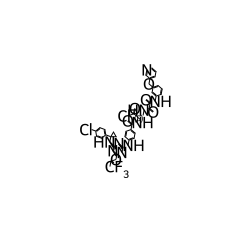 O=C(NC[C@H](NC(=O)c1ccc(Nc2nc(NC3(c4ccc(Cl)cc4)CC3)nc(OCC(F)(F)F)n2)cc1)C(=O)Cl)C(=O)Nc1cccc(Oc2cccnc2)c1